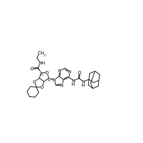 CCNC(=O)[C@H]1O[C@@H](n2cnc3c(NC(=O)NC45CC6CC(CC(C6)C4)C5)ncnc32)C2OC3(CCCCC3)OC21